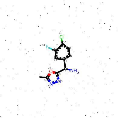 Cc1nnc(C(N)c2ccc(Cl)c(F)c2)o1